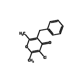 Cc1oc(C)c(Cc2ccccc2)c(=O)c1Cl